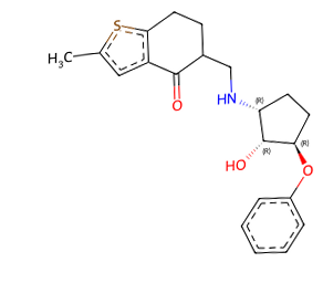 Cc1cc2c(s1)CCC(CN[C@@H]1CC[C@@H](Oc3ccccc3)[C@@H]1O)C2=O